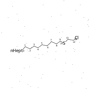 [CH2]CCCCCCCCCCCCCCCSCCCl